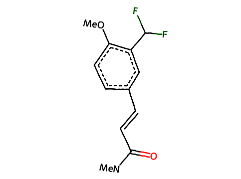 CNC(=O)C=Cc1ccc(OC)c(C(F)F)c1